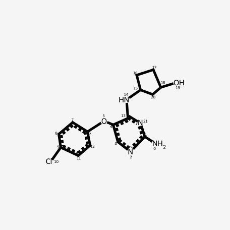 Nc1ncc(Oc2ccc(Cl)cc2)c(NC2CCC(O)C2)n1